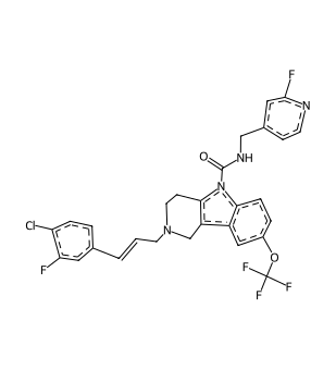 O=C(NCc1ccnc(F)c1)n1c2c(c3cc(OC(F)(F)F)ccc31)CN(CC=Cc1ccc(Cl)c(F)c1)CC2